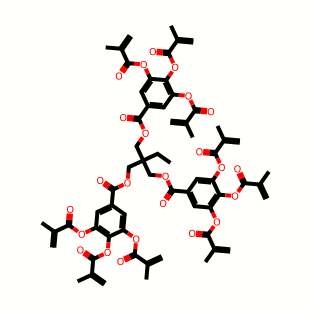 C=C(C)C(=O)Oc1cc(C(=O)OCC(CC)(COC(=O)c2cc(OC(=O)C(=C)C)c(OC(=O)C(=C)C)c(OC(=O)C(=C)C)c2)COC(=O)c2cc(OC(=O)C(=C)C)c(OC(=O)C(=C)C)c(OC(=O)C(=C)C)c2)cc(OC(=O)C(=C)C)c1OC(=O)C(=C)C